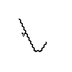 CCCCC/C=C\C/C=C\CCCCCCCCCC(CCCCCCCC)N(C)C